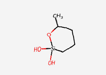 CC1CCC[Si](O)(O)O1